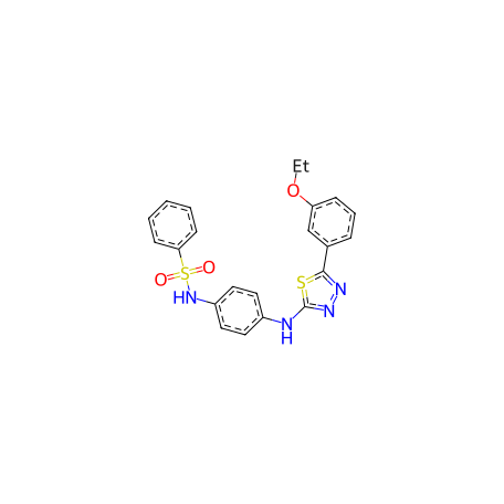 CCOc1cccc(-c2nnc(Nc3ccc(NS(=O)(=O)c4ccccc4)cc3)s2)c1